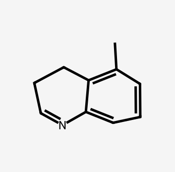 Cc1cccc2c1CCC=N2